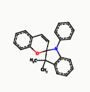 CC1(C)c2ccccc2N(c2ccccc2)C12C=Cc1ccccc1O2